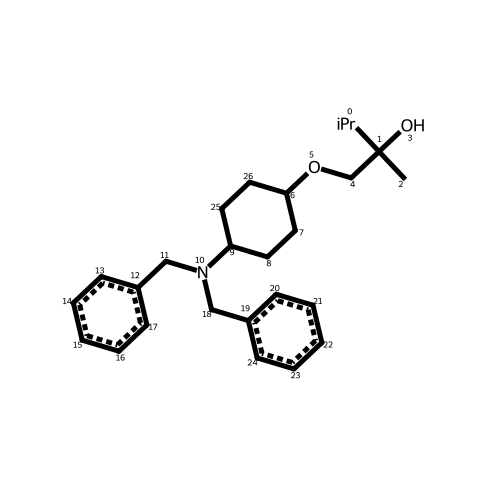 CC(C)C(C)(O)COC1CCC(N(Cc2ccccc2)Cc2ccccc2)CC1